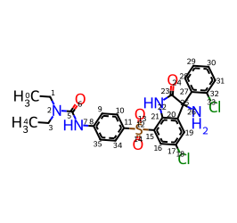 CCN(CC)C(=O)Nc1ccc(S(=O)(=O)c2cc(Cl)cc3c2NC(=O)C3(N)c2ccccc2Cl)cc1